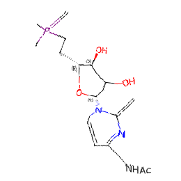 C=C1N=C(NC(C)=O)C=CN1[C@@H]1O[C@H](CCP(=C)(C)C)[C@@H](O)C1O